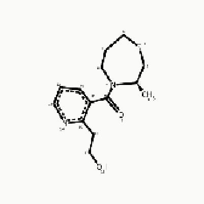 C[C@@H]1CSCCCN1C(=O)c1cccnc1CCO